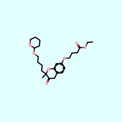 CCOC(=O)CCCOc1ccc2c(c1)OC(C)(CCCCOC1CCCCO1)C(=O)C2